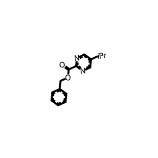 CC(C)c1cnc(C(=O)OCc2ccccc2)nc1